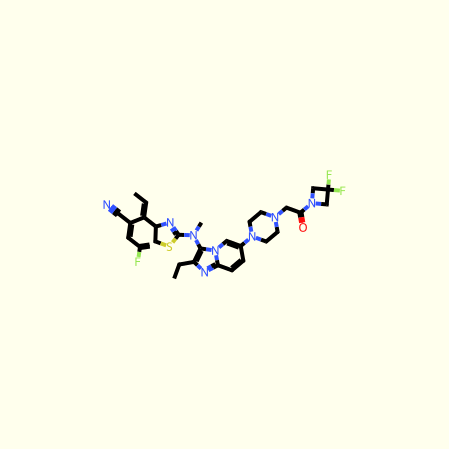 C=C(F)/C=C(C#N)\C(=C/C)C1CSC(N(C)c2c(CC)nc3ccc(N4CCN(CC(=O)N5CC(F)(F)C5)CC4)cn23)=N1